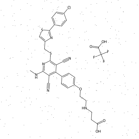 CNc1nc(SCc2csc(-c3ccc(Cl)cc3)n2)c(C#N)c(-c2ccc(OCCNCCC(=O)O)cc2)c1C#N.O=C(O)C(F)(F)F